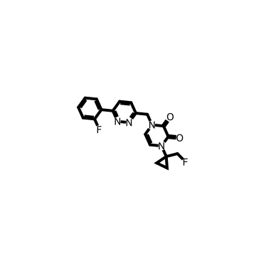 O=c1c(=O)n(C2(CF)CC2)ccn1Cc1ccc(-c2ccccc2F)nn1